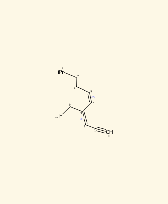 C#C/C=C(\C=C/CCC(C)C)CF